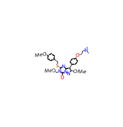 COCn1c(SCc2ccc(OC)cc2)nc2c(-c3ccc(OCCN(C)C)cc3)c(OC)nn2c1=O